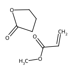 C=CC(=O)OC.O=C1CCCO1